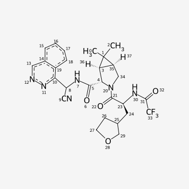 CC1(C)[C@@H]2[C@@H](C(=O)NC(C#N)c3nncc4ccccc34)N(C(=O)[C@H](CC3CCOC3)NC(=O)C(F)(F)F)C[C@@H]21